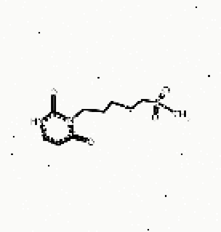 CS(=O)(=O)CCCCCn1c(=O)cc[nH]c1=O